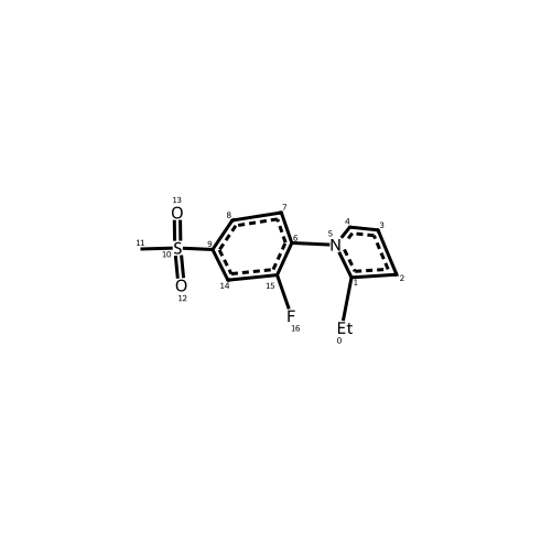 CCc1cccn1-c1ccc(S(C)(=O)=O)cc1F